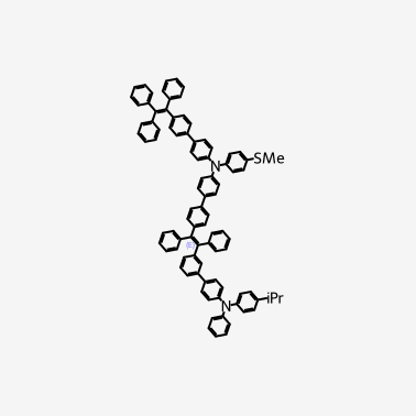 CSc1ccc(N(c2ccc(-c3ccc(C(=C(c4ccccc4)c4ccccc4)c4ccccc4)cc3)cc2)c2ccc(-c3ccc(/C(=C(\c4ccccc4)c4cccc(-c5ccc(N(c6ccccc6)c6ccc(C(C)C)cc6)cc5)c4)c4ccccc4)cc3)cc2)cc1